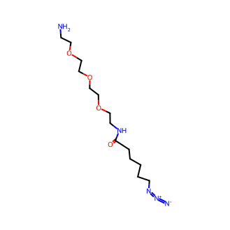 [N-]=[N+]=NCCCCCC(=O)NCCOCCOCCOCCN